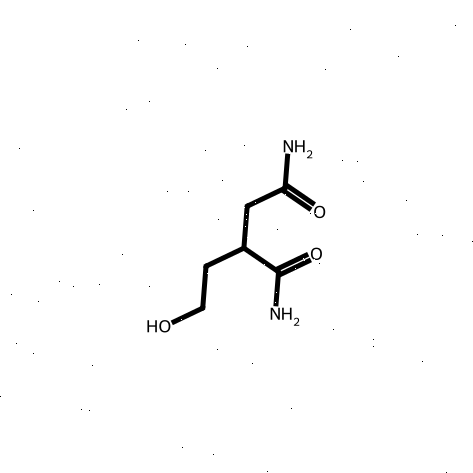 NC(=O)CC(CCO)C(N)=O